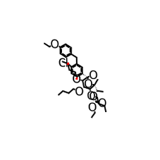 CCCCO[C@@H]1[C@@H](OCCCC)[C@@]2(c3ccc(Cl)c(Cc4ccc(OCC)cc4)c3)OC[C@](C(C)OC(=O)OCC)(O2)[C@H]1OCCCC